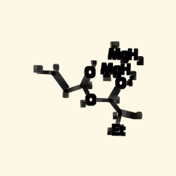 C=C(CC)C(=O)OC(=O)C=CC.[MgH2].[MgH2]